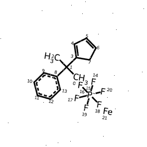 CC(C)(C1=CC=CC1)c1ccccc1.F[P-](F)(F)(F)(F)F.[Fe]